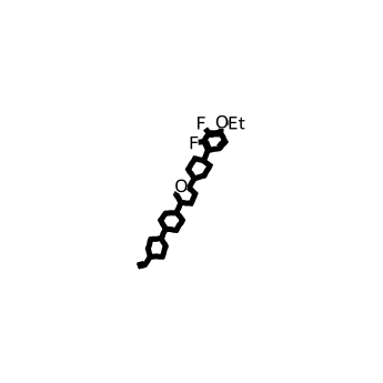 C=CC1CCC(C2CCC(C3CCC(C4CCC(c5ccc(OCC)c(F)c5F)CC4)OC3)CC2)CC1